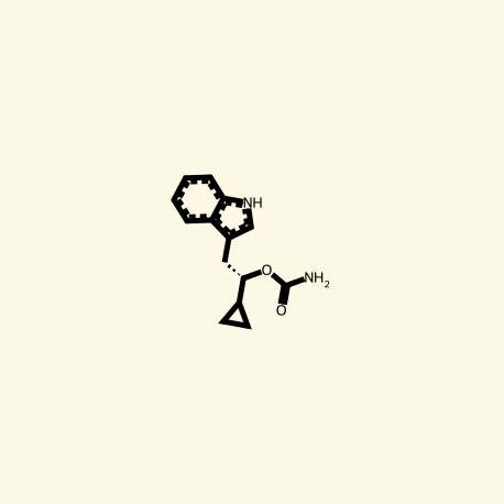 NC(=O)O[C@@H](Cc1c[nH]c2ccccc12)C1CC1